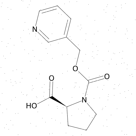 O=C(O)[C@@H]1CCCN1C(=O)OCc1cccnc1